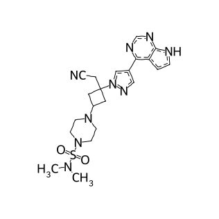 CN(C)S(=O)(=O)N1CCN(C2CC(CC#N)(n3cc(-c4ncnc5[nH]ccc45)cn3)C2)CC1